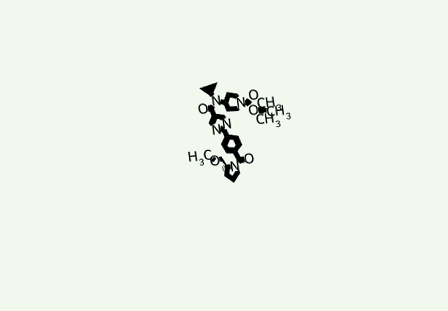 COC[C@@H]1CCCN1C(=O)c1ccc(-c2ncc(C(=O)N(C3CC3)C3CCN(C(=O)OC(C)(C)C)CC3)cn2)cc1